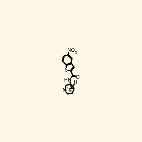 O=C(N[C@H]1CN2CCC1CC2)c1cc2cc([N+](=O)[O-])ccc2s1